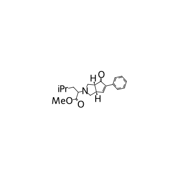 COC(=O)C(CC(C)C)N1C[C@H]2C=C(c3ccccc3)C(=O)[C@H]2C1